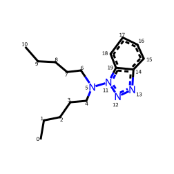 CCCCCN(CCCCC)n1nnc2ccccc21